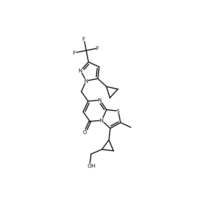 Cc1sc2nc(Cn3nc(C(F)(F)F)cc3C3CC3)cc(=O)n2c1C1CC1CO